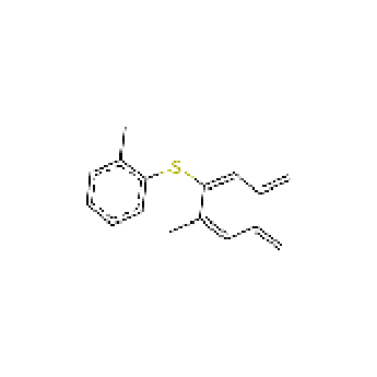 C=C/C=C(C)\C(=C/C=C)Sc1ccccc1C